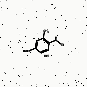 CCNc1ccc(OC)cc1C.Cl